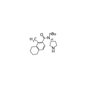 CCCCN(C(=O)c1ccc2c(c1C)CCCC2)[C@@H]1CCNC1